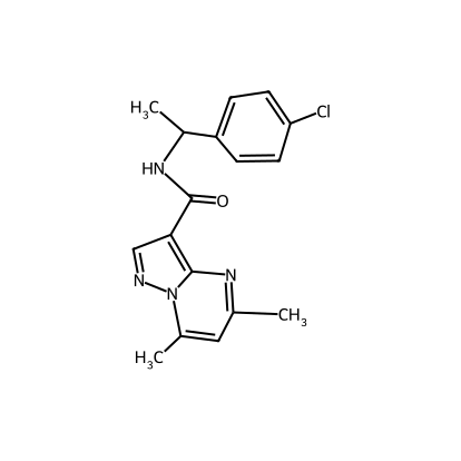 Cc1cc(C)n2ncc(C(=O)NC(C)c3ccc(Cl)cc3)c2n1